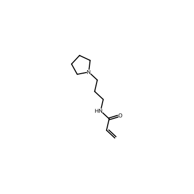 C=CC(=O)NCCCN1CCCC1